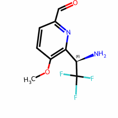 COc1ccc(C=O)nc1[C@@H](N)C(F)(F)F